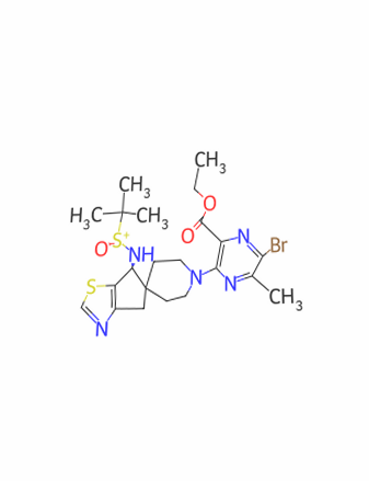 CCOC(=O)c1nc(Br)c(C)nc1N1CCC2(CC1)Cc1ncsc1[C@H]2N[S@+]([O-])C(C)(C)C